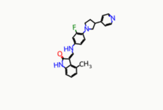 Cc1cccc2c1C(=CNc1ccc(N3CCC(c4ccncc4)C3)c(F)c1)C(=O)N2